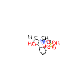 CNC(C)C(O)c1ccccc1.O=S(=O)(O)O